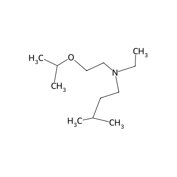 CCN(CCOC(C)C)CCC(C)C